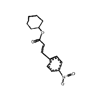 O=C(C=Cc1ccc([N+](=O)[O-])cc1)OC1CCCCC1